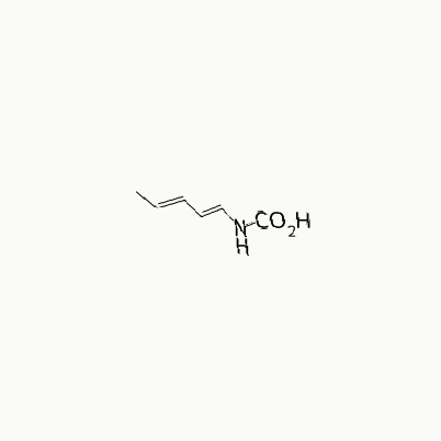 CC=CC=CNC(=O)O